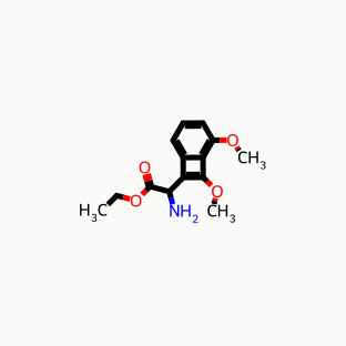 CCOC(=O)C(N)C1=C(OC)c2c(OC)cccc21